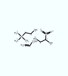 C=CC(=O)[O-].C[N+](C)(C)CCO.O=P(=O)C(O)CO